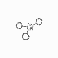 c1ccc(-c2nn(-c3ccccc3)n[n+]2-c2ccccc2)cc1